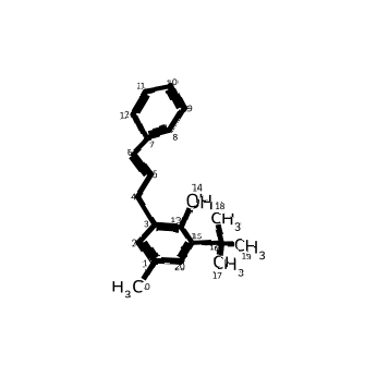 Cc1cc(CC=Cc2ccccc2)c(O)c(C(C)(C)C)c1